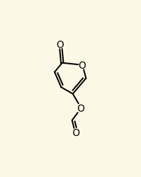 O=COc1ccc(=O)oc1